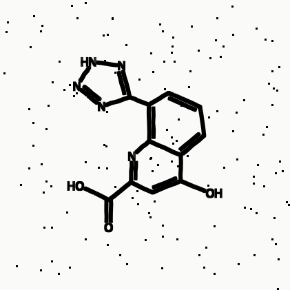 O=C(O)c1cc(O)c2cccc(-c3nn[nH]n3)c2n1